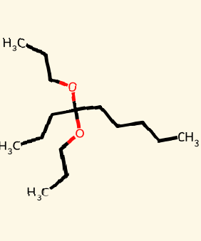 CCCCCC(CCC)(OCCC)OCCC